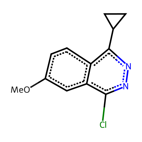 COc1ccc2c(C3CC3)nnc(Cl)c2c1